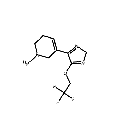 CN1CCC=C(c2nsnc2OCC(F)(F)F)C1